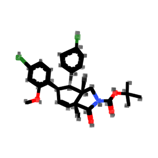 COc1cc(Cl)ccc1[C@@H]1C=C[C@H]2C(=O)N(C(=O)OC(C)(C)C)C[C@H]2[C@H]1c1ccc(Cl)cc1